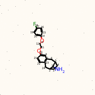 NC1C2CCC1Cc1cc(OCCOc3ccc(F)cc3)ccc1C2